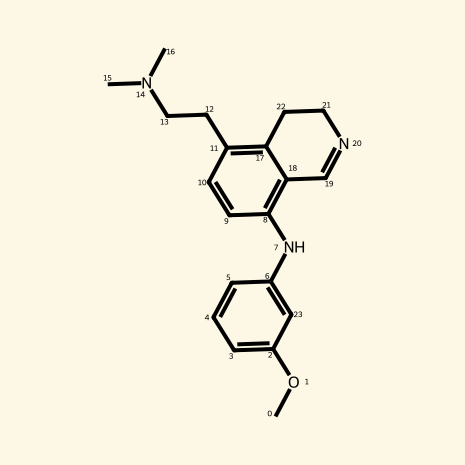 COc1cccc(Nc2ccc(CCN(C)C)c3c2C=NCC3)c1